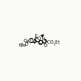 CCOC(=O)c1cn(C2CC2)c2c(OC(F)F)c(-c3cc4n(c3)CCN(C(=O)OC(C)(C)C)C4)ccc2c1=O